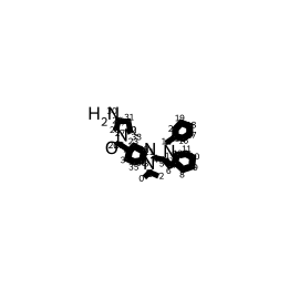 CC(C)n1c(-c2cc3ccccc3n2Cc2ccccc2)nc2cc(C(=O)N3C[C@H](N)C[C@@H]3C)ccc21